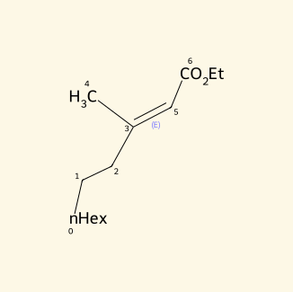 CCCCCCCC/C(C)=C/C(=O)OCC